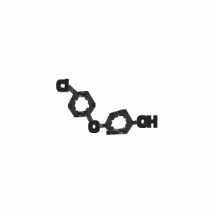 Oc1c[c]c(Oc2ccc(Cl)cc2)cc1